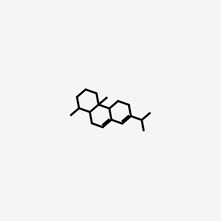 CC(C)C1=CC2=CCC3C(C)CCCC3(C)C2CC1